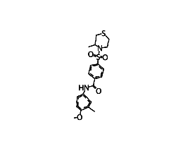 COc1ccc(NC(=O)c2ccc(S(=O)(=O)N3CCSCC3C)cc2)cc1C